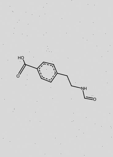 O=CNCCc1ccc(C(=O)O)cc1